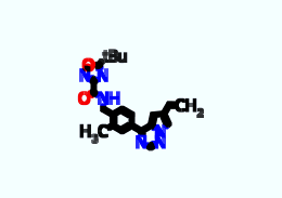 C=Cc1cc2c(-c3ccc(CNC(=O)c4noc(C(C)(C)C)n4)c(C)c3)ncnn2c1